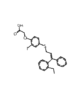 CCc1ccccc1/C(=C\CSc1ccc(OCC(=O)O)c(I)c1)c1ccccc1